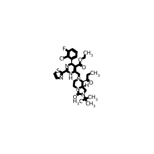 CCOC(=O)C1=C(CN2CCN3C(=O)N(C(C)(C)C)C[C@H]3[C@@H]2C(=O)CC)NC(c2nccs2)=N[C@H]1c1cccc(F)c1Cl